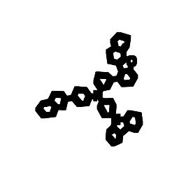 c1cc(-c2cccc3oc4c5ccccc5ccc4c23)cc(N(c2ccc(-c3ccc4ccccc4c3)cc2)c2ccc(-n3c4ccccc4c4ccccc43)cc2)c1